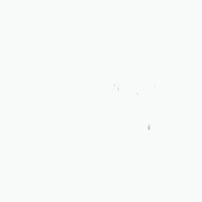 CC(C)C1C(=O)Nc2cc(Cl)ccc21